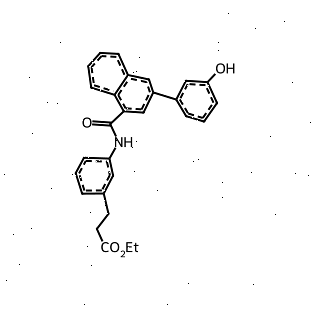 CCOC(=O)CCc1cccc(NC(=O)c2cc(-c3cccc(O)c3)cc3ccccc23)c1